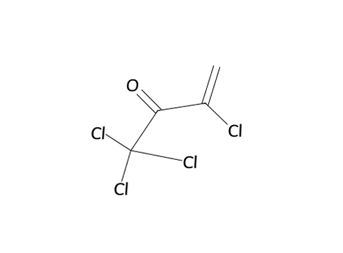 C=C(Cl)C(=O)C(Cl)(Cl)Cl